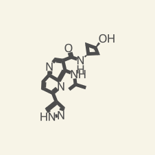 CC(C)Nc1c(C(=O)N[C@H]2C[C@H](O)C2)cnc2ccc(-c3cn[nH]c3)nc12